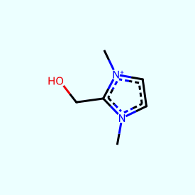 Cn1cc[n+](C)c1CO